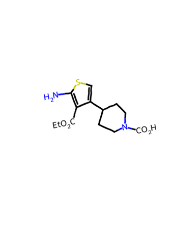 CCOC(=O)c1c(C2CCN(C(=O)O)CC2)csc1N